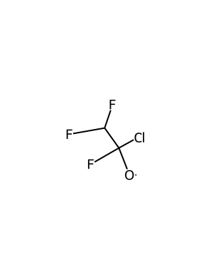 [O]C(F)(Cl)C(F)F